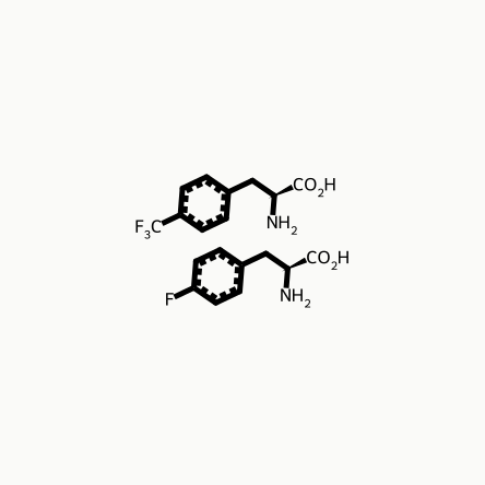 N[C@@H](Cc1ccc(C(F)(F)F)cc1)C(=O)O.N[C@@H](Cc1ccc(F)cc1)C(=O)O